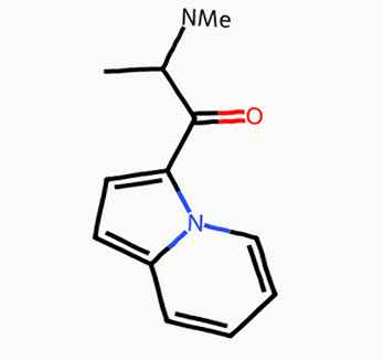 CNC(C)C(=O)c1ccc2ccccn12